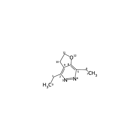 CCc1nnc(CC)c2c1CCO2